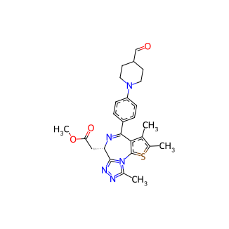 COC(=O)C[C@@H]1N=C(c2ccc(N3CCC(C=O)CC3)cc2)c2c(sc(C)c2C)-n2c(C)nnc21